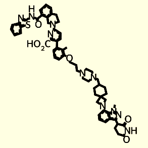 Cc1c(OCCCN2CCN(CC3CCC4(CC3)CN(c3cccc5c(C6CCC(=O)NC6=O)nn(C)c35)C4)CC2)cccc1-c1ccc(N2CCc3cccc(C(=O)Nc4nc5ccccc5s4)c3C2)nc1C(=O)O